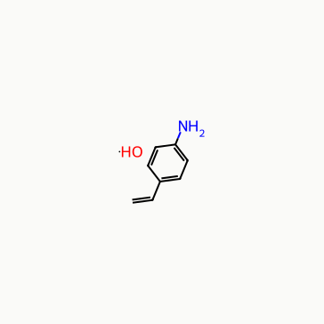 C=Cc1ccc(N)cc1.[OH]